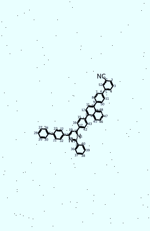 N#Cc1cccc(-c2ccc(-c3ccc(-c4ccc(-c5cc(-c6ccc(-c7ccccc7)cc6)nc(-c6ccccc6)n5)cc4)c4ccccc34)cc2)c1